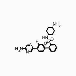 Nc1cnc(-c2ccc(-c3ccccc3S(=O)(=O)N[C@H]3CC[C@@H](N)CC3)cc2F)cn1